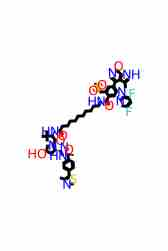 Cc1ncsc1-c1ccc([C@]2(C)NC([C@@H]3C[C@@H](O)CN3C(=O)[C@H](NC(=O)CCCCCCCCCCNC(=O)c3cc4c(cc3CS(C)(=O)=O)-c3cn(C)c(=O)c5[nH]cc(c35)CN4c3ncc(F)cc3F)C(C)(C)C)=NO2)cc1